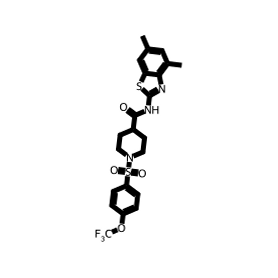 Cc1cc(C)c2nc(NC(=O)C3CCN(S(=O)(=O)c4ccc(OC(F)(F)F)cc4)CC3)sc2c1